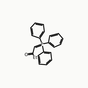 CCC(=O)C=P(c1ccccc1)(c1ccccc1)c1ccccc1